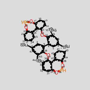 CC(C)(C)c1cc(-c2cc(C(C)(C)C)cc(C(C)(C)C)c2Oc2cccc3o[pH]oc4ccccc4c23)c(Oc2cccc3o[pH]oc4ccccc4c23)c(C(C)(C)C)c1